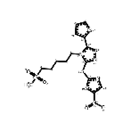 CS(=O)(=O)CCCCCn1c(Sc2ncc([N+](=O)[O-])s2)nnc1-c1cccs1